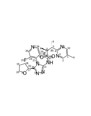 Cc1cnc([C@@H](C)[C@H](C)S(=O)(=O)Nc2nnc([C@@H]3CCCO3)n2-c2c(F)cncc2F)nc1